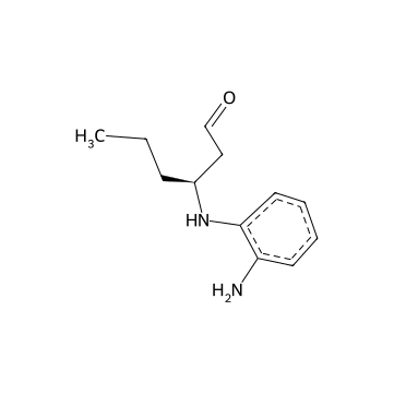 CCC[C@@H](CC=O)Nc1ccccc1N